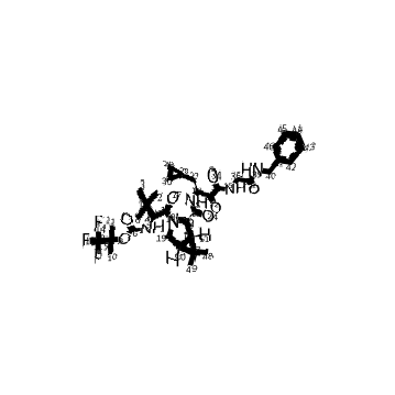 CC(C)(C)[C@H](NC(=O)OC(C)(C)C(F)(F)F)C(=O)N1C[C@H]2[C@@H]([C@H]1C(=O)N[C@@H](CC1CC1)C(=O)C(=O)NCC(=O)NCc1ccccc1)C2(C)C